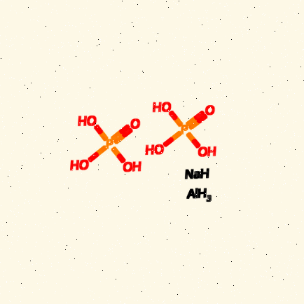 O=P(O)(O)O.O=P(O)(O)O.[AlH3].[NaH]